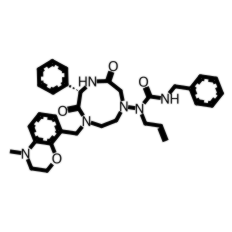 C=CCN(C(=O)NCc1ccccc1)N1CCN(Cc2cccc3c2OCCN3C)C(=O)[C@H](c2ccccc2)NC(=O)C1